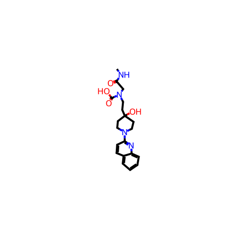 CNC(=O)CN(CCC1(O)CCN(c2ccc3ccccc3n2)CC1)C(=O)O